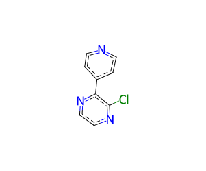 Clc1nccnc1-c1ccncc1